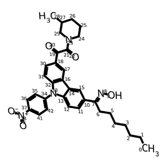 CCCCCCCC(=NO)c1ccc2c(c1)c1cc(C(=O)C(=O)N3CCCC(C)C3)ccc1n2-c1ccc([N+](=O)[O-])cc1